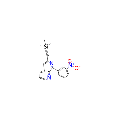 C[Si](C)(C)C#Cc1cc2cccnc2c(-c2cccc([N+](=O)[O-])c2)n1